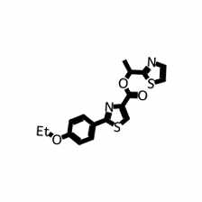 CCOc1ccc(-c2nc(C(=O)OC(C)c3nccs3)cs2)cc1